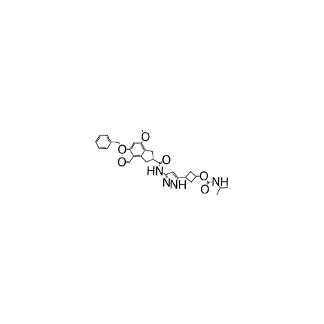 COc1cc(OCc2ccccc2)c(C=O)c2c1CC(C(=O)Nc1cc(C3CC(OC(=O)NC(C)C)C3)[nH]n1)C2